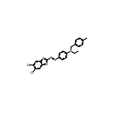 CCN(Cc1ccc(C)cc1)c1ccc(N=Nc2nc3cc(Cl)c(Cl)cc3s2)cc1